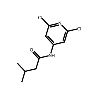 CC(C)CC(=O)Nc1cc(Cl)nc(Cl)c1